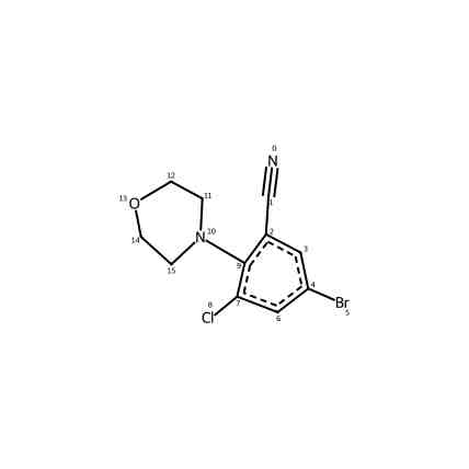 N#Cc1cc(Br)cc(Cl)c1N1CCOCC1